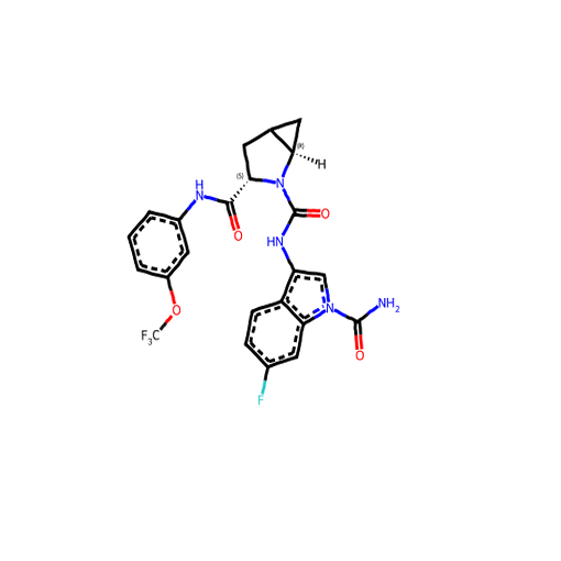 NC(=O)n1cc(NC(=O)N2[C@@H]3CC3C[C@H]2C(=O)Nc2cccc(OC(F)(F)F)c2)c2ccc(F)cc21